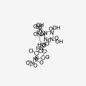 COc1cc2c(cc1-c1cccc(NC(=O)CCCCCNC(=O)[C@H](CS(=O)(=O)O)NC(=O)CN3CCN(CC(=O)O)CCN(CC(=O)O)CCN(CC(=O)O)CC3)c1)-c1c(c(C(=O)N3CCOCC3(C)C)nn1-c1cc(Cl)cc(Cl)c1)CO2